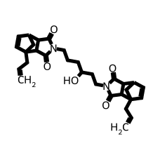 C=CCC12C=CC(C1)C1C(=O)N(CCCC(O)CCN3C(=O)C4C5C=CC(CC=C)(C5)C4C3=O)C(=O)C12